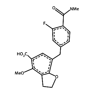 CNC(=O)c1ccc(Cc2cc(C(=O)O)c(OC)c3c2OCC3)cc1F